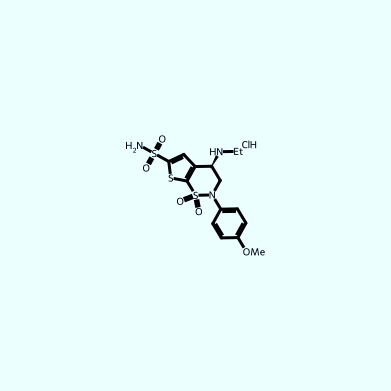 CCN[C@H]1CN(c2ccc(OC)cc2)S(=O)(=O)c2sc(S(N)(=O)=O)cc21.Cl